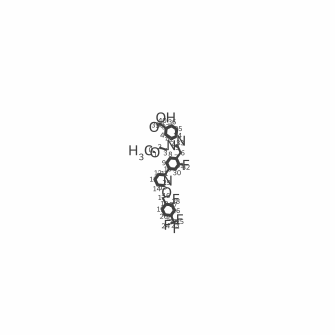 COCCn1c(Cc2ccc(-c3cccc(OCc4ccc(C(F)(F)F)cc4F)n3)cc2F)nc2ccc(C(=O)O)cc21